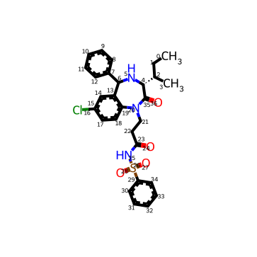 CCC(C)[C@H]1NC(c2ccccc2)c2cc(Cl)ccc2N(CCC(=O)NS(=O)(=O)c2ccccc2)C1=O